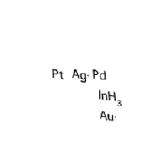 [Ag].[Au].[InH3].[Pd].[Pt]